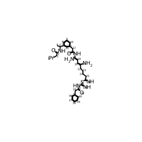 CC(C)CC(=O)NC(C)c1cccc(CC(=O)N/C(N)=C/C=C(\N)CCCCC(=N)SC(=N)NC(=O)Cc2ccccc2)c1